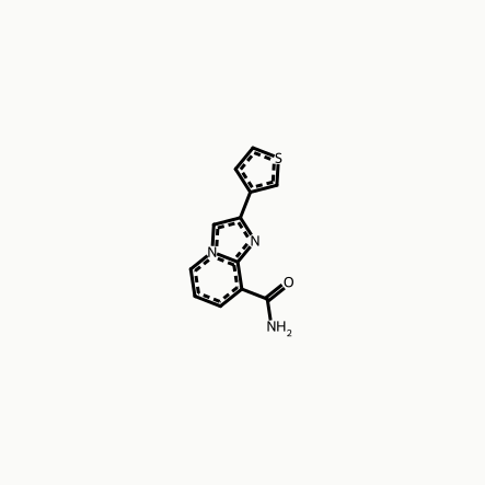 NC(=O)c1cccn2cc(-c3ccsc3)nc12